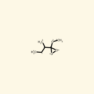 CCC(C)C1(OC)OO1